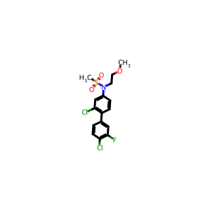 COCCN(c1ccc(-c2ccc(Cl)c(F)c2)c(Cl)c1)S(C)(=O)=O